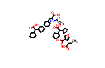 CC(=O)NC(=Cc1ccccc1)C(=O)O.CC=CC(=O)O.O=C(O)C(c1ccccc1)C1CCCC1.O=C(O)C(c1ccccc1)c1ccccc1.O=C(O)c1ccoc1